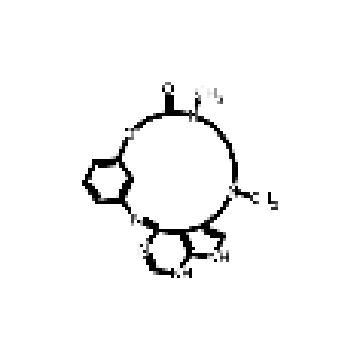 CN1CCCN(C)C(=O)COc2cccc(c2)/N=C2/N=CNc3[nH]cc(c32)C1